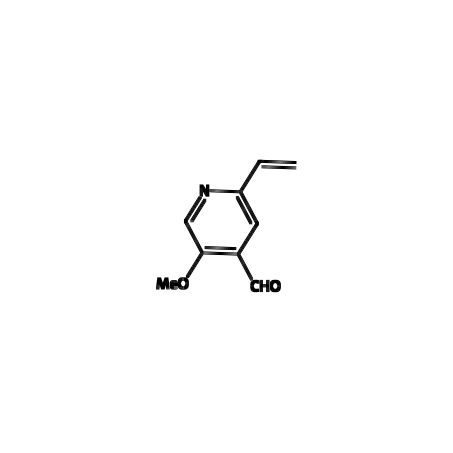 C=Cc1cc(C=O)c(OC)cn1